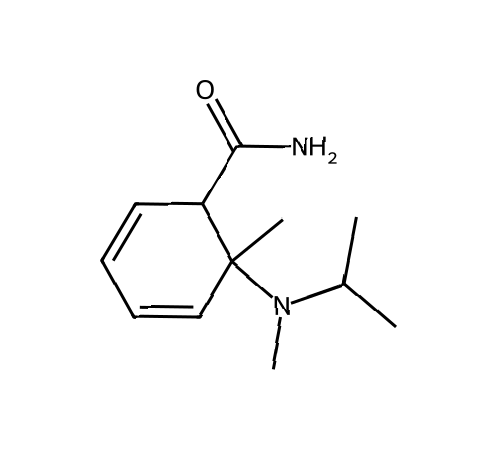 CC(C)N(C)C1(C)C=CC=CC1C(N)=O